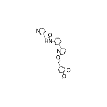 COc1ccc(CCOc2cccc(-c3cccc(NC(=O)Cc4cccnc4)c3)n2)cc1OC